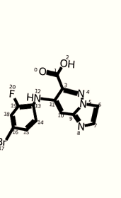 O=C(O)c1nn2ccnc2cc1Nc1ccc(Br)cc1F